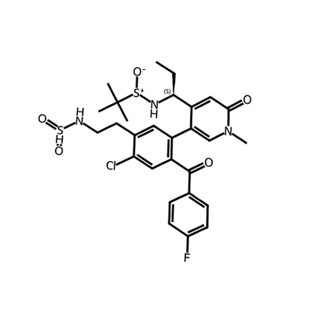 CC[C@H](N[S+]([O-])C(C)(C)C)c1cc(=O)n(C)cc1-c1cc(CCN[SH](=O)=O)c(Cl)cc1C(=O)c1ccc(F)cc1